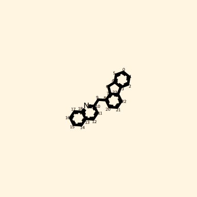 c1ccc2c(c1)Cc1c(Cc3ccc4ccccc4n3)cccc1-2